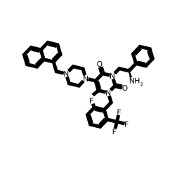 Cc1c(N2CCN(Cc3cccc4ccccc34)CC2)c(=O)n(C[C@H](N)c2ccccc2)c(=O)n1Cc1c(F)cccc1C(F)(F)F